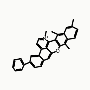 Cc1ccc2c(C)c3c(c(C)c2c1)-c1c2c(cc4ccc(-c5ccccc5)cc4c2cc[n+]1C)O3